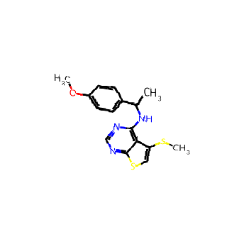 COc1ccc(C(C)Nc2ncnc3scc(SC)c23)cc1